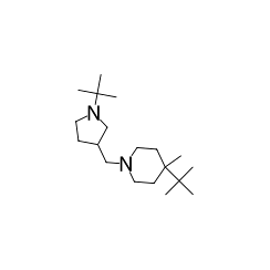 CC(C)(C)N1CCC(CN2CCC(C)(C(C)(C)C)CC2)C1